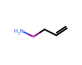 C=CC[I]N